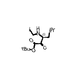 CC(C)C[C@H](NCI)C(=O)C(=O)OC(C)(C)C